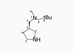 CN(C[C@@H]1CCNC1)CC(C)(C)C